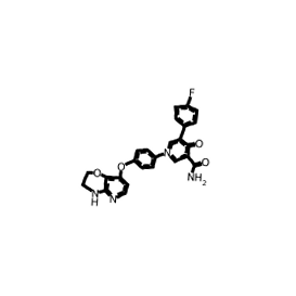 NC(=O)c1cn(-c2ccc(Oc3ccnc4c3OCCN4)cc2)cc(-c2ccc(F)cc2)c1=O